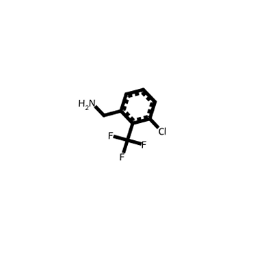 NCc1cccc(Cl)c1C(F)(F)F